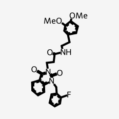 COc1ccc(CCNC(=O)CCn2c(=O)c3ccccc3n(Cc3ccccc3F)c2=O)cc1OC